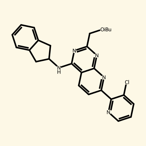 CC(C)COCc1nc(NC2Cc3ccccc3C2)c2ccc(-c3ncccc3Cl)nc2n1